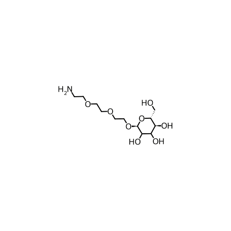 NCCOCCOCCO[C@H]1O[C@H](CO)[C@@H](O)C(O)C1O